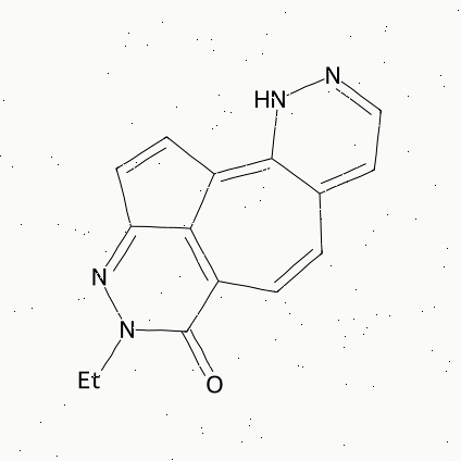 CCn1nc2ccc3c4c(ccc(c2-3)c1=O)=CC=NN4